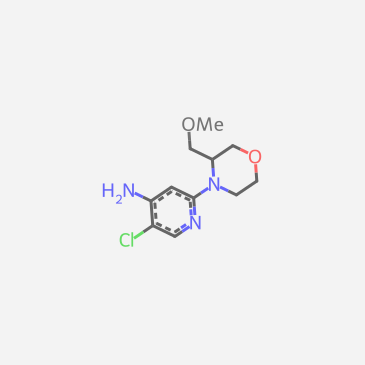 COCC1COCCN1c1cc(N)c(Cl)cn1